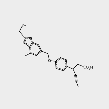 CC#CC(CC(=O)O)c1ccc(OCc2cc(C)c3nn(CC(C)C)cc3c2)cc1